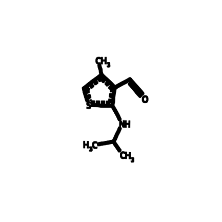 Cc1csc(NC(C)C)c1C=O